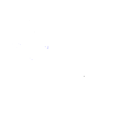 CO[Si](CCCNC(N)(N)C1CC1)(OC)OC